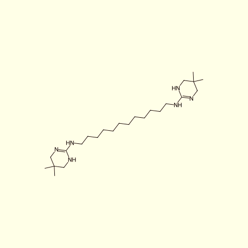 CC1(C)CN=C(NCCCCCCCCCCCCNC2=NCC(C)(C)CN2)NC1